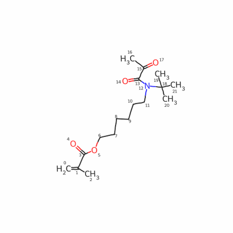 C=C(C)C(=O)OCCCCCCN(C(=O)C(C)=O)C(C)(C)C